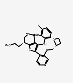 COCC[C@H]1CNC(=O)c2c1[nH]c(-c1ccncc1OC[C@H]1CCO1)c2Nc1cccc(F)c1OC